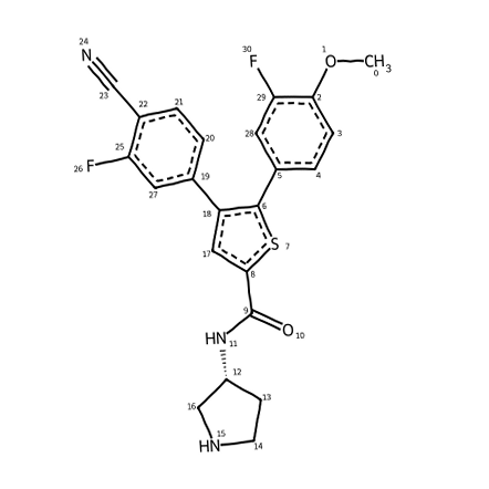 COc1ccc(-c2sc(C(=O)N[C@@H]3CCNC3)cc2-c2ccc(C#N)c(F)c2)cc1F